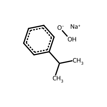 CC(C)c1ccccc1.[Na+].[O-]O